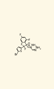 N/N=C\N(N)CC(O)(c1ccc(F)cc1F)C(F)(F)c1ccc(Br)s1